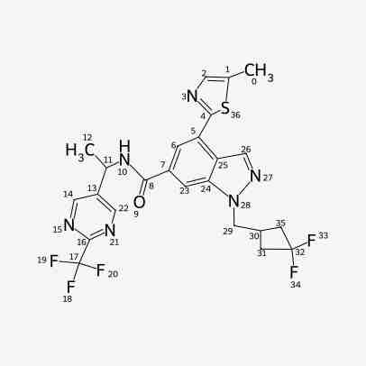 Cc1cnc(-c2cc(C(=O)NC(C)c3cnc(C(F)(F)F)nc3)cc3c2cnn3CC2CC(F)(F)C2)s1